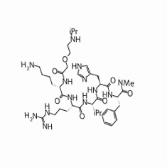 CNC(=O)[C@H](Cc1ccccc1)NC(=O)[C@H](Cc1c[nH]cn1)NC(=O)[C@@H](NC(=O)[C@H](CCCNC(=N)N)NC(=O)[C@H](CCCCN)NC(=O)COCCNC(C)C)C(C)C